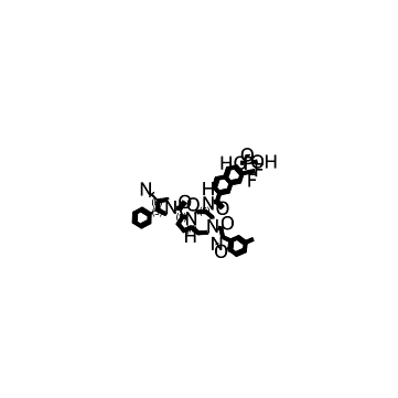 Cc1ccc2onc(C(=O)N3CC[C@H]4CC[C@@H](C(=O)N5C[C@H](c6ccccc6)[C@@H](C#N)C5)N4C(=O)[C@@H](NC(=O)c4ccc5ccc(C(F)(F)P(=O)(O)O)cc5c4)C3)c2c1